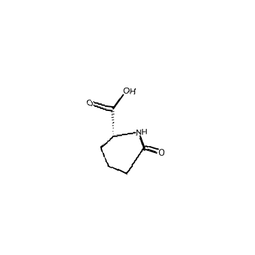 O=C1CCC[C@H](C(=O)O)N1